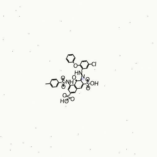 Cc1ccc(S(=O)(=O)Nc2cc(S(=O)(=O)O)cc3c2C(=O)/C(=N\Nc2cc(Cl)ccc2Oc2ccccc2)C(S(=O)(=O)O)=C3)cc1